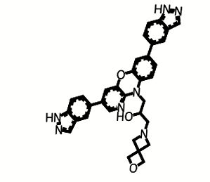 OC(CN1CC2(COC2)C1)CN1c2ccc(-c3ccc4[nH]ncc4c3)cc2Oc2cc(-c3ccc4[nH]ncc4c3)cnc21